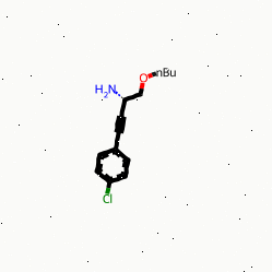 CCCCOC[C@@H](N)C#Cc1ccc(Cl)cc1